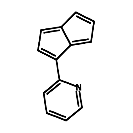 C1=CC2=CC=C(c3ccccn3)C2=C1